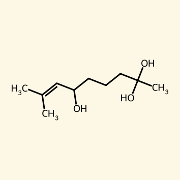 CC(C)=CC(O)CCCC(C)(O)O